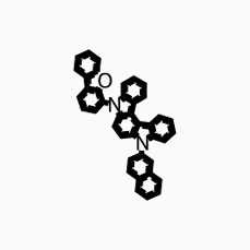 c1ccc2cc(-n3c4ccccc4c4c5c6ccccc6n(-c6cccc7c6oc6ccccc67)c5ccc43)ccc2c1